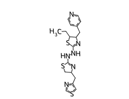 CCC1SC(NNC2=NC(Cc3cscn3)CS2)=NC1Cc1ccncc1